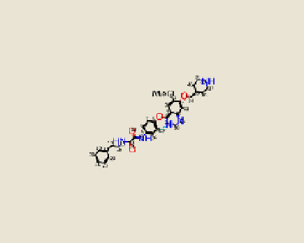 COc1cc2c(Oc3ccc(NC(=O)C(=O)NCCc4ccccc4)cc3F)ncnc2cc1OCC1CCNCC1